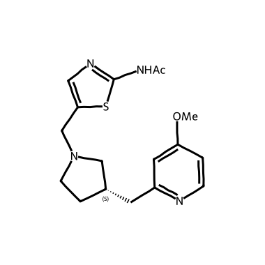 COc1ccnc(C[C@@H]2CCN(Cc3cnc(NC(C)=O)s3)C2)c1